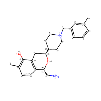 Cc1cccc(CN2CCC([C@@H]3Cc4c(ccc(C)c4O)[C@H](CN)O3)CC2)c1